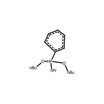 CCCCO[PH](CCC)(OCCCC)c1ccccc1